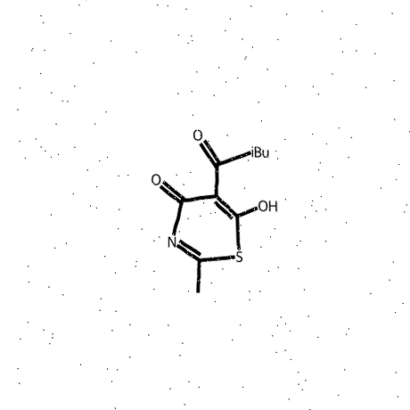 CCC(C)C(=O)c1c(O)sc(C)nc1=O